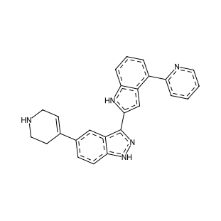 C1=C(c2ccc3[nH]nc(-c4cc5c(-c6ccccn6)cccc5[nH]4)c3c2)CCNC1